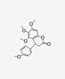 COc1ccc(C2CC(=O)Oc3cc(OC)c(OC)c(OC)c32)cc1